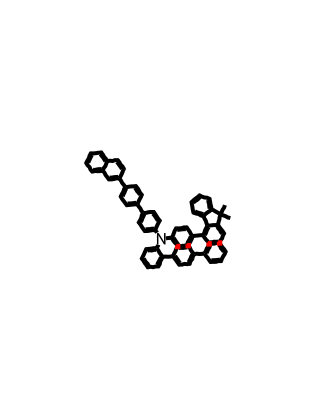 CC1(C)c2ccccc2-c2c(-c3ccc(N(c4ccc(-c5ccc(-c6ccc7ccccc7c6)cc5)cc4)c4ccccc4-c4ccc(-c5ccccc5)cc4)cc3)cccc21